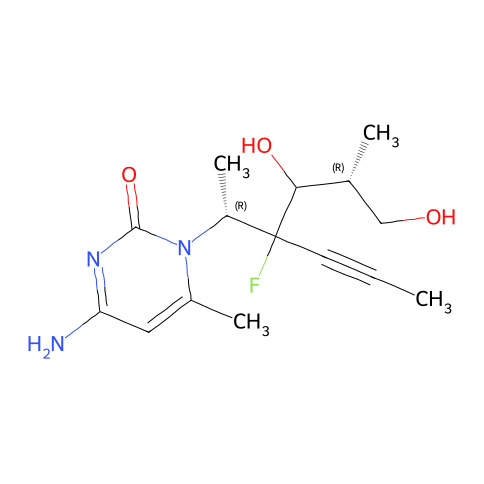 CC#CC(F)(C(O)[C@H](C)CO)[C@@H](C)n1c(C)cc(N)nc1=O